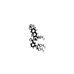 CCN(CC)c1cccc(C(=O)n2nc(N)c3cc4ccc(OC)cc4nc32)c1